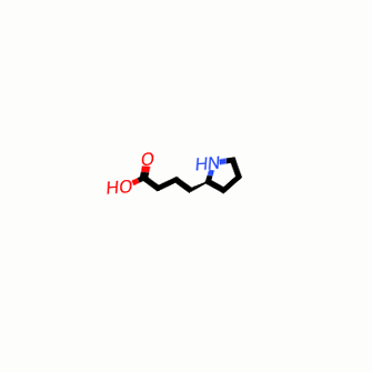 O=C(O)CCC[C@@H]1CCCN1